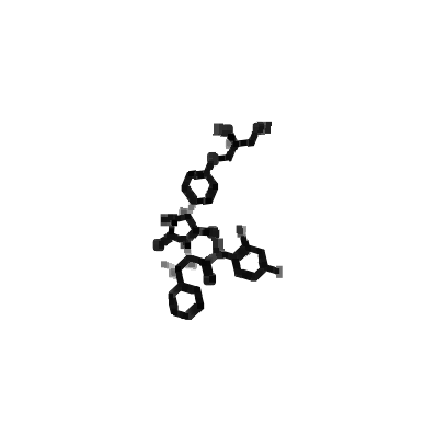 C[C@@H](c1ccccc1)[C@@H](C(=O)Nc1ccc(I)cc1F)N1C(=O)N[C@H](c2ccc(OC[C@@H](O)CO)cc2)C1=O